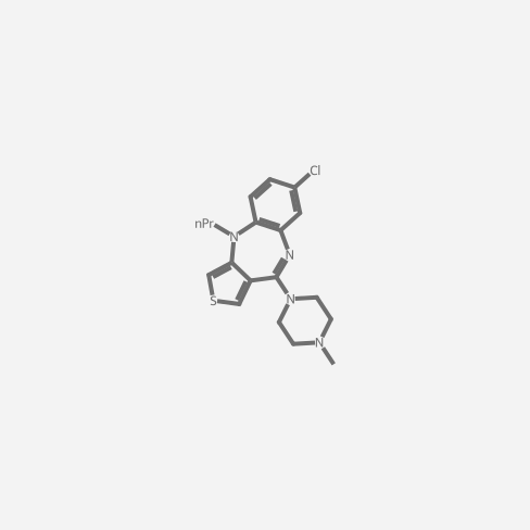 CCCN1c2ccc(Cl)cc2N=C(N2CCN(C)CC2)c2cscc21